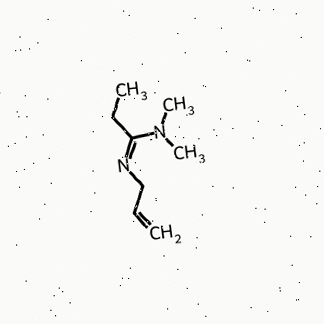 C=CCN=C(CC)N(C)C